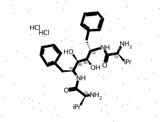 CC(C)[C@H](N)C(=O)N[C@@H](Cc1ccccc1)[C@@H](O)[C@H](O)[C@H](Cc1ccccc1)NC(=O)[C@@H](N)C(C)C.Cl.Cl